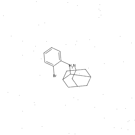 NC12CC3CC(C1)C(Cc1ccccc1Br)C(C3)C2